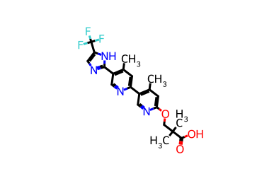 Cc1cc(OCC(C)(C)C(=O)O)ncc1-c1cc(C)c(-c2ncc(C(F)(F)F)[nH]2)cn1